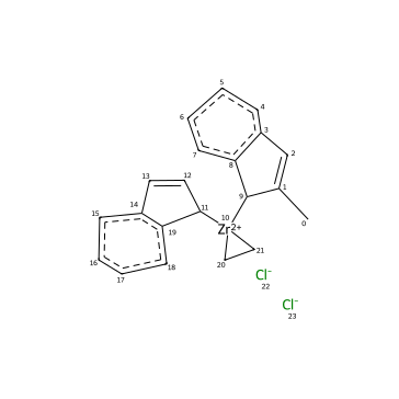 CC1=Cc2ccccc2[CH]1[Zr+2]1([CH]2C=Cc3ccccc32)[CH2][CH2]1.[Cl-].[Cl-]